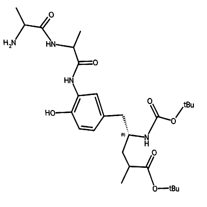 CC(N)C(=O)NC(C)C(=O)Nc1cc(C[C@@H](CC(C)C(=O)OC(C)(C)C)NC(=O)OC(C)(C)C)ccc1O